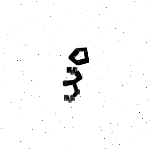 C1=CCC=C1.C=CC(=O)OC